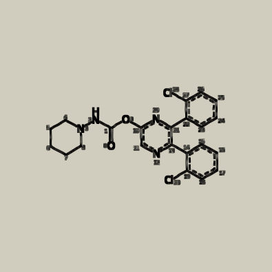 O=C(NN1CCCCC1)Oc1cnc(-c2ccccc2Cl)c(-c2ccccc2Cl)n1